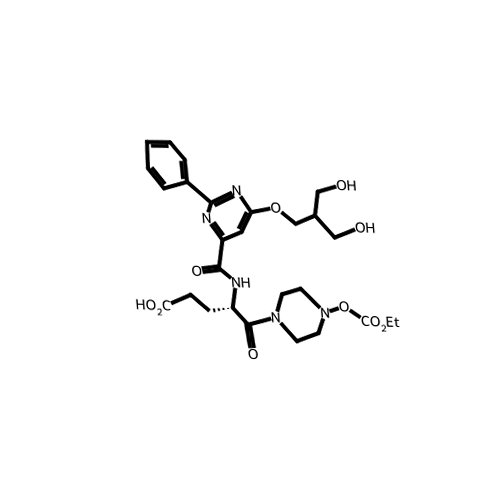 CCOC(=O)ON1CCN(C(=O)[C@H](CCC(=O)O)NC(=O)c2cc(OCC(CO)CO)nc(-c3ccccc3)n2)CC1